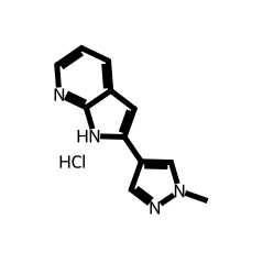 Cl.Cn1cc(-c2cc3cccnc3[nH]2)cn1